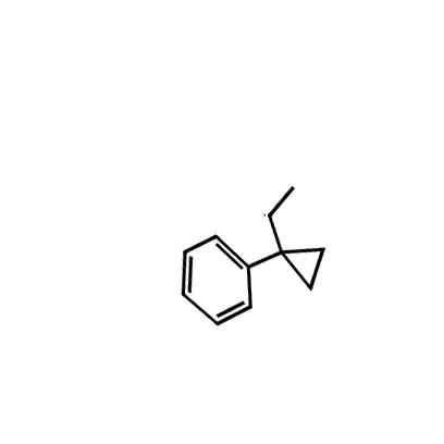 C[CH]C1(c2ccccc2)CC1